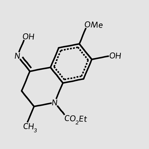 CCOC(=O)N1c2cc(O)c(OC)cc2/C(=N\O)CC1C